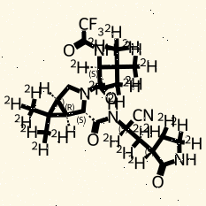 [2H]C([2H])([2H])C1(C([2H])([2H])[2H])[C@@H]2[C@@H](C(=O)N[C@]([2H])(C#N)C([2H])([2H])[C@@]3([2H])C(=O)NC([2H])([2H])C3([2H])[2H])N(C(=O)[C@@]([2H])(NC(=O)C(F)(F)F)C(C([2H])([2H])[2H])(C([2H])([2H])[2H])C([2H])([2H])[2H])C[C@@H]21